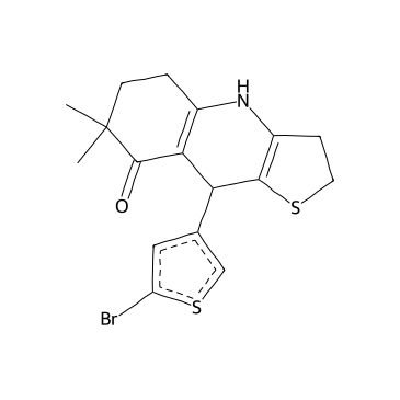 CC1(C)CCC2=C(C1=O)C(c1csc(Br)c1)C1=C(CCS1)N2